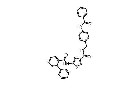 O=C(Nc1ccc(CNC(=O)c2csc(NC(=O)c3ccccc3-c3ccccc3)n2)cc1)c1ccccc1